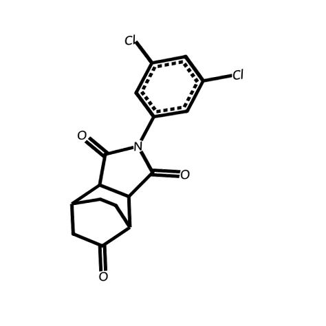 O=C1CC2CCC1C1C(=O)N(c3cc(Cl)cc(Cl)c3)C(=O)C21